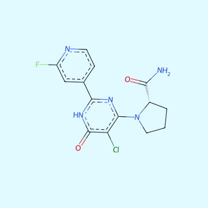 NC(=O)[C@@H]1CCCN1c1nc(-c2ccnc(F)c2)[nH]c(=O)c1Cl